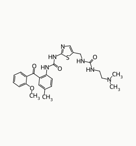 COc1ccccc1C(=O)c1cc(C)ccc1NC(=O)Nc1ncc(CNC(=O)NCCN(C)C)s1